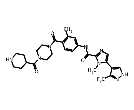 Cc1cc(NC(=O)c2ncc(-c3c[nH]nc3C(F)(F)F)n2C)ccc1C(=O)N1CCN(C(=O)C2CCNCC2)CC1